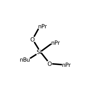 CCCC[Si](CCC)(OCCC)OCCC